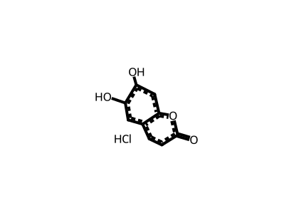 Cl.O=c1ccc2cc(O)c(O)cc2o1